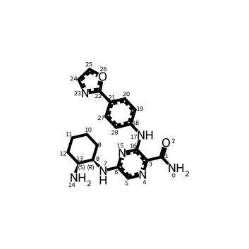 NC(=O)c1ncc(N[C@@H]2CCCC[C@@H]2N)nc1Nc1ccc(-c2ncco2)cc1